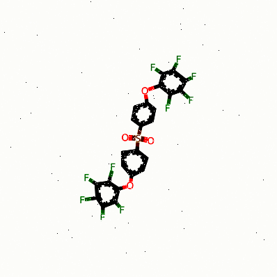 O=S(=O)(c1ccc(Oc2c(F)c(F)c(F)c(F)c2F)cc1)c1ccc(Oc2c(F)c(F)c(F)c(F)c2F)cc1